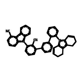 N#Cc1c(-c2cccc(-c3ccccc3-n3c4c(c5c3C=CCC5)CCC=C4)c2)cccc1-n1c2ccccc2c2c(C#N)cccc21